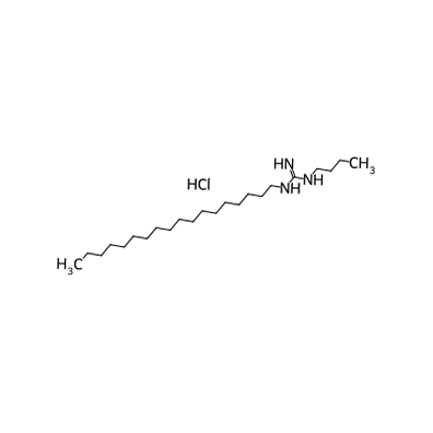 CCCCCCCCCCCCCCCCCCNC(=N)NCCCC.Cl